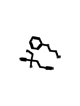 N#CCCC(Br)(C#N)CBr.OCCOc1ccccc1